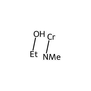 CCO.C[NH][Cr]